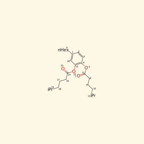 CCCCCCc1ccc(OC(=O)CCCC(C)C)c(OC(=O)CCCC(C)C)c1